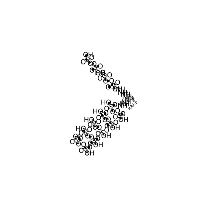 N.N.N.N.N.N.N.N.O=S(=O)(O)OOS(=O)(=O)O.O=S(=O)(O)OOS(=O)(=O)O.O=S(=O)(O)OOS(=O)(=O)O.O=S(=O)(O)OOS(=O)(=O)O.O=S(=O)(O)OOS(=O)(=O)O.O=S(=O)(O)OOS(=O)(=O)O.O=S(=O)(O)OOS(=O)(=O)O